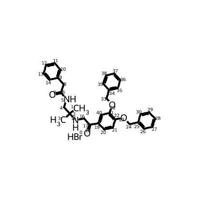 Br.CC(C)(CNC(=O)Cc1ccccc1)NCC(=O)c1ccc(OCc2ccccc2)c(OCc2ccccc2)c1